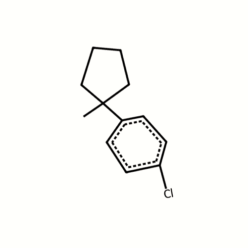 CC1(c2ccc(Cl)cc2)CCCC1